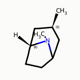 C[C@H]1CC2CC[C@H](C1)N2C